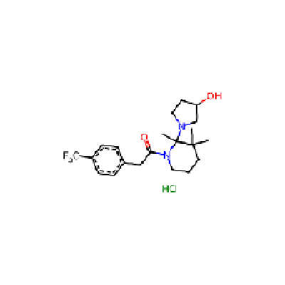 CC1(C)CCCN(C(=O)Cc2ccc(C(F)(F)F)cc2)C1(C)N1CCC(O)C1.Cl